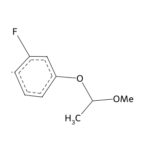 COC(C)Oc1cc[c]c(F)c1